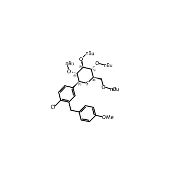 CCCCOC[C@H]1S[C@@H](c2ccc(Cl)c(Cc3ccc(OC)cc3)c2)[C@H](OCCCC)[C@@H](OCCCC)[C@@H]1OCCCC